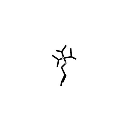 CC=CCO[Si](C(C)C)(C(C)C)C(C)C